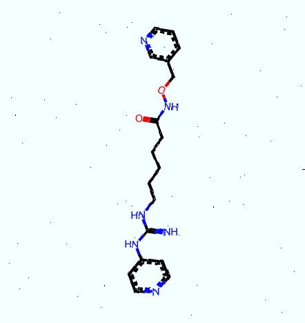 N=C(NCCCCCC(=O)NOCc1cccnc1)Nc1ccncc1